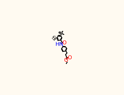 CCOC(=O)CCc1ccc(NC(=O)c2cc([Si](C)(C)C)cc([Si](C)(C)C)c2)cc1